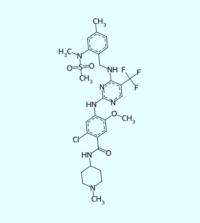 COc1cc(C(=O)NC2CCN(C)CC2)c(Cl)cc1Nc1ncc(C(F)(F)F)c(NCc2ccc(C)cc2N(C)S(C)(=O)=O)n1